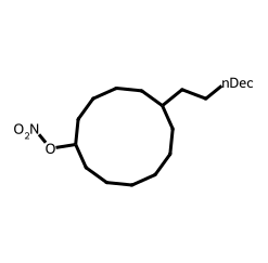 CCCCCCCCCCCCC1CCCCCCC(O[N+](=O)[O-])CCCC1